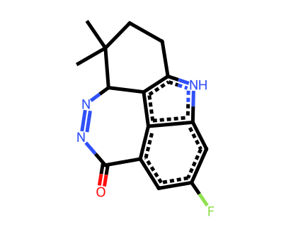 CC1(C)CCc2[nH]c3cc(F)cc4c3c2C1N=NC4=O